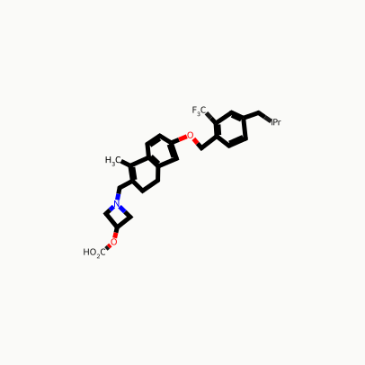 CC1=C(CN2CC(OC(=O)O)C2)CCc2cc(OCc3ccc(CC(C)C)cc3C(F)(F)F)ccc21